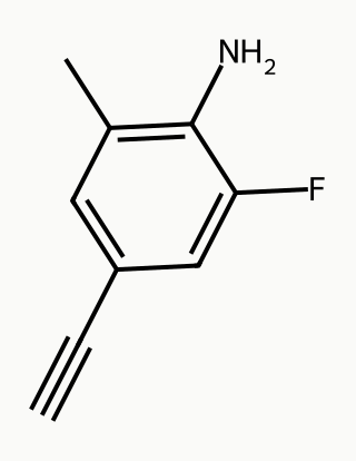 C#Cc1cc(C)c(N)c(F)c1